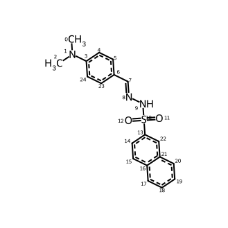 CN(C)c1ccc(C=NNS(=O)(=O)c2ccc3ccccc3c2)cc1